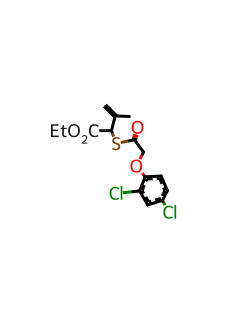 C=C(C)C(SC(=O)COc1ccc(Cl)cc1Cl)C(=O)OCC